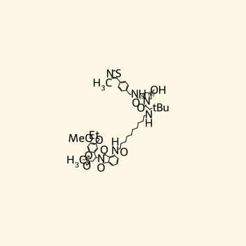 CCOc1cc(C(CS(C)(=O)=O)N2C(=O)c3cccc(NC(=O)CCCCCCCCCNC(C(=O)N4C[C@H](O)C[C@H]4C(=O)NCc4ccc(-c5scnc5C)cc4)C(C)(C)C)c3C2=O)ccc1OC